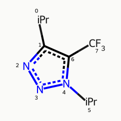 CC(C)c1nnn(C(C)C)c1C(F)(F)F